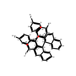 Fc1ccc(P(c2ccc(F)cc2)c2ccc3ccccc3c2-c2c(P(c3ccc(F)cc3)c3ccc(F)cc3)ccc3ccccc23)cc1